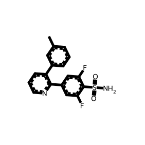 Cc1cccc(-c2cccnc2-c2cc(F)c(S(N)(=O)=O)c(F)c2)c1